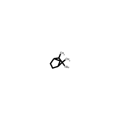 CCCCC1(C)[C]2CCC(C2)C1C